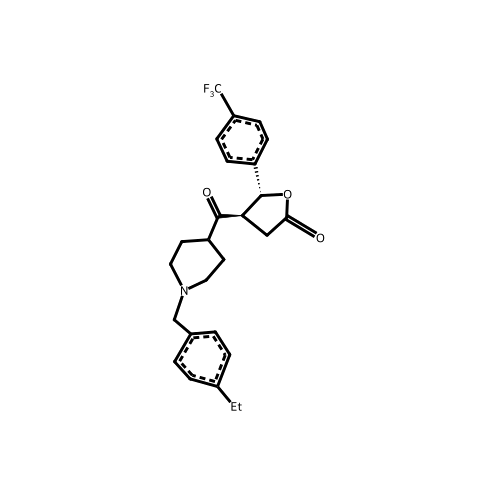 CCc1ccc(CN2CCC(C(=O)[C@@H]3CC(=O)O[C@H]3c3ccc(C(F)(F)F)cc3)CC2)cc1